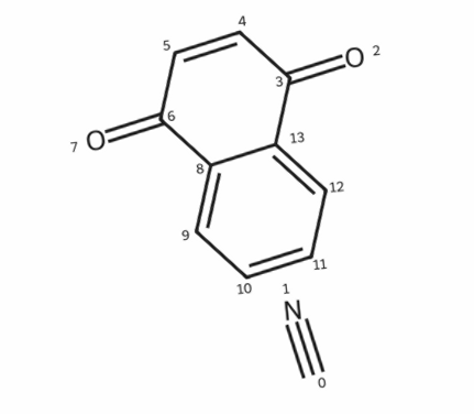 C#N.O=C1C=CC(=O)c2ccccc21